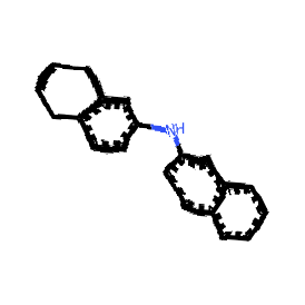 C1=CCc2cc(Nc3ccc4ccccc4c3)ccc2C1